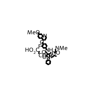 CNCC(=O)OC(C)Cn1c(C)c(C(=O)Nc2ccc(Oc3ccnc4cc(OC)ccc34)c(F)c2)c(=O)n1-c1ccccc1.O=C(O)CCC(=O)O